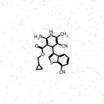 CC1=C(C#N)C(c2csc3c(C#N)cccc23)C(C(=O)OCC2CC2)=C(N)N1